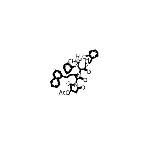 CC(=O)OC1CC(=O)N(C2C(=O)N(C(C(=O)NCc3ccccc3C)N(C=O)c3ccccc3)C2CCc2cccc3ccccc23)C1=O